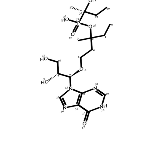 CCC(C)(CCO[C@H]([C@H](O)CO)n1cnc2c(=O)[nH]cnc21)OP(=O)(O)[C@@](C)(O)CC